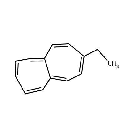 CCC1=CC=C2C=CC=CC=C2C=C1